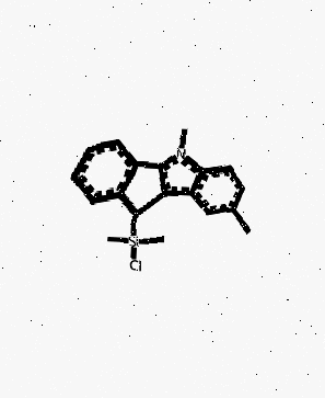 Cc1ccc2c(c1)c1c(n2C)-c2ccccc2C1[Si](C)(C)Cl